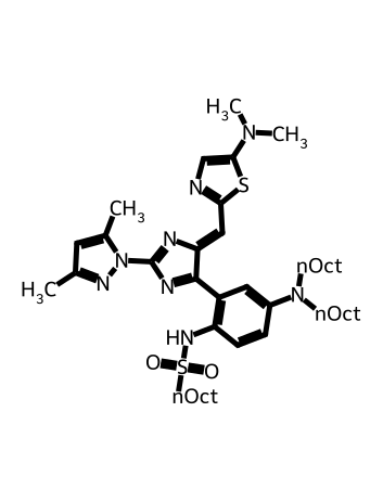 CCCCCCCCN(CCCCCCCC)c1ccc(NS(=O)(=O)CCCCCCCC)c(C2=NC(n3nc(C)cc3C)=N/C2=C\c2ncc(N(C)C)s2)c1